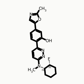 Cc1ncc(-c2ccc(-c3ccc(N(C)[C@H]4CCCC[C@H]4F)nn3)c(O)c2)o1